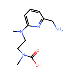 CN(CCN(C)c1cccc(CN)n1)C(=O)O